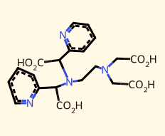 O=C(O)CN(CCN(C(C(=O)O)c1ccccn1)C(C(=O)O)c1ccccn1)CC(=O)O